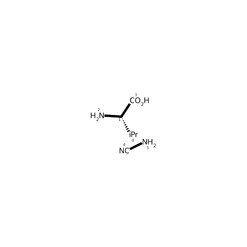 CC(C)[C@H](N)C(=O)O.N#CN